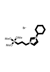 CO[Si](CCCn1cc[n+](C2CCCCC2)c1)(OC)OC.[Br-]